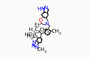 CC[C@@H]1CN(Cc2cc(C(c3ccc4c(nnn4C)c3C)C(C)(C)C(=O)O)ccc2C)Cc2cc3cn[nH]c3cc2O1